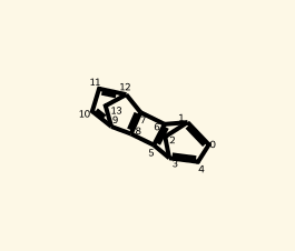 C1=C2CC(=C1)C1=C2C2=C1C1=CC=C2C1